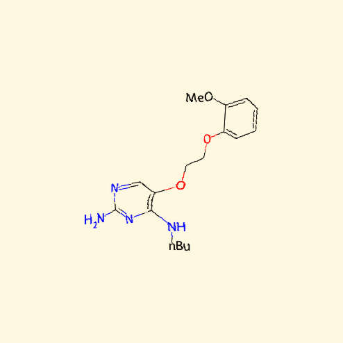 CCCCNc1nc(N)ncc1OCCOc1ccccc1OC